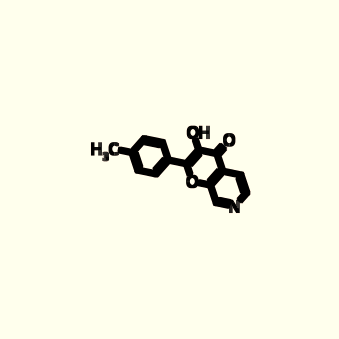 Cc1ccc(-c2oc3cnccc3c(=O)c2O)cc1